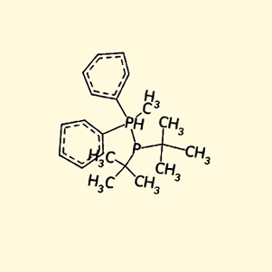 CC(C)(C)P(C(C)(C)C)[PH](C)(c1ccccc1)c1ccccc1